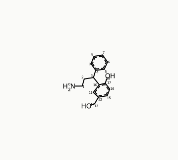 NCCC(c1ccccc1)c1cc(CO)ccc1O